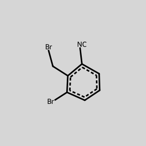 [C-]#[N+]c1cccc(Br)c1CBr